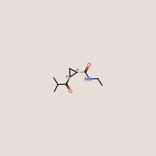 CCNC(=O)[C@H]1C[C@@H]1C(=O)C(C)C